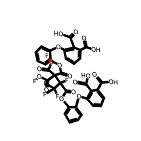 O=C(O)c1cccc(Oc2ccccc2OC(=O)C(C(=O)OF)(C(=O)OF)C(F)(C(=O)Oc2ccccc2Oc2cccc(C(=O)O)c2C(=O)O)C(F)(F)F)c1C(=O)O